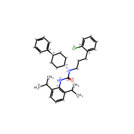 CC(C)c1cccc(C(C)C)c1NC(=O)N(CCCc1ccccc1Cl)[C@H]1CC[C@H](c2ccccc2)CC1